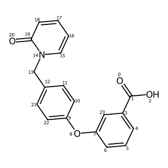 O=C(O)c1cccc(Oc2ccc(Cn3ccccc3=O)cc2)c1